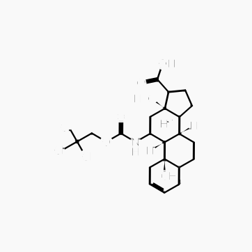 C[C@]12CC=CCC1CC[C@@H]1[C@H]2C(NC(=O)OCC(Cl)(Cl)Cl)C[C@]2(C)C(C(=O)O)CC[C@@H]12